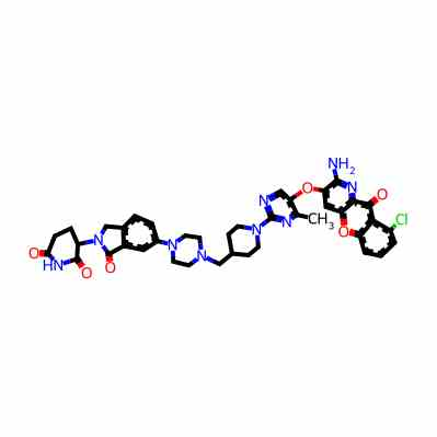 Cc1nc(N2CCC(CN3CCN(c4ccc5c(c4)C(=O)N(C4CCC(=O)NC4=O)C5)CC3)CC2)ncc1Oc1cc2oc3cccc(Cl)c3c(=O)c2nc1N